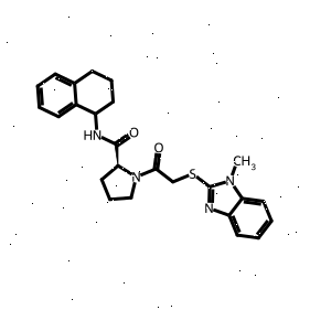 Cn1c(SCC(=O)N2CCC[C@H]2C(=O)NC2CCCc3ccccc32)nc2ccccc21